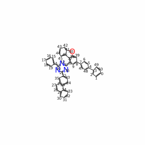 c1ccc(-c2ccc(-c3cc(-c4nc(-c5ccccc5)nc(-c5ccc6c(ccc7ccccc76)c5)n4)c4c(c3)oc3ccccc34)cc2)cc1